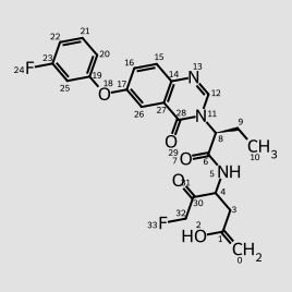 C=C(O)CC(NC(=O)[C@H](CC)n1cnc2ccc(Oc3cccc(F)c3)cc2c1=O)C(=O)CF